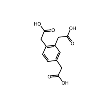 O=C(O)Cc1ccc(CC(=O)O)c(CC(=O)O)c1